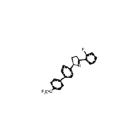 Fc1ccccc1C1=NC(c2ccc(-c3ccc(OC(F)(F)F)cc3)cc2)CC1